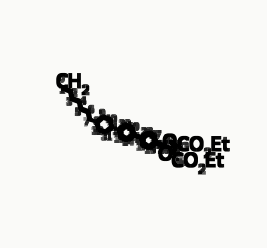 C=CCCCCCC[C@H]1CC[C@H](c2ccc(-c3ccc(C4O[C@@H](C(=O)OCC)[C@H](C(=O)OCC)O4)cc3)cc2)CC1